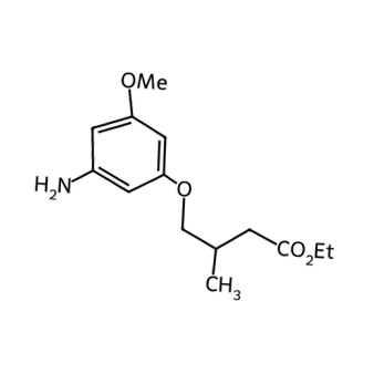 CCOC(=O)CC(C)COc1cc(N)cc(OC)c1